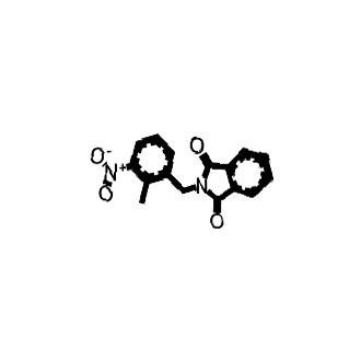 Cc1c(CN2C(=O)c3ccccc3C2=O)cccc1[N+](=O)[O-]